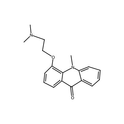 CN(C)CCOc1cccc2c(=O)c3ccccc3n(C)c12